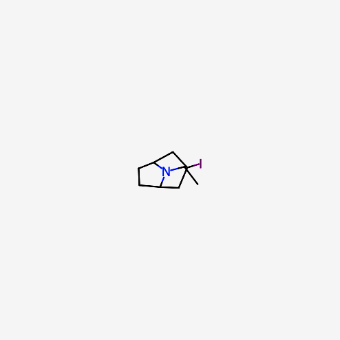 CCN1C2CCC1CC(I)C2